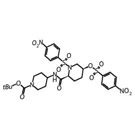 CC(C)(C)OC(=O)N1CCC(NC(=O)[C@@H]2CC[C@H](OS(=O)(=O)c3ccc([N+](=O)[O-])cc3)CN2S(=O)(=O)c2ccc([N+](=O)[O-])cc2)CC1